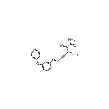 CC(C#CCOc1cccc(Oc2ccncc2)c1)N(O)C(N)=O